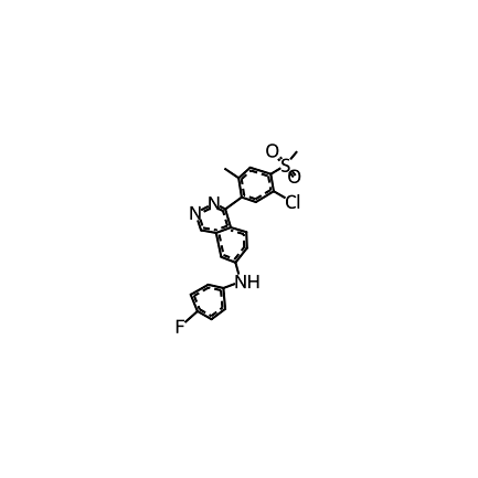 Cc1cc(S(C)(=O)=O)c(Cl)cc1-c1nncc2cc(Nc3ccc(F)cc3)ccc12